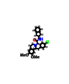 COc1cc2c(cc1OC)C(Cc1ccc(Cl)cc1)N(CC(=O)NC1Cc3ccccc3C1)CC2